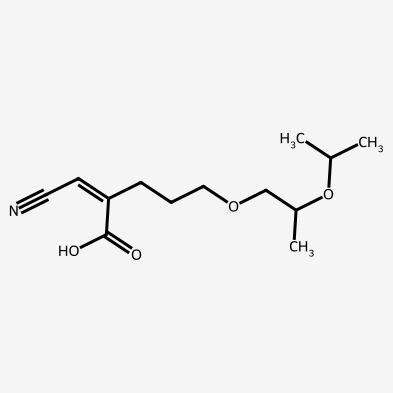 CC(C)OC(C)COCCCC(=CC#N)C(=O)O